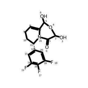 O=C1C(O)OC(O)C2=CCC[C@@H](c3cc(F)c(F)c(F)c3)N12